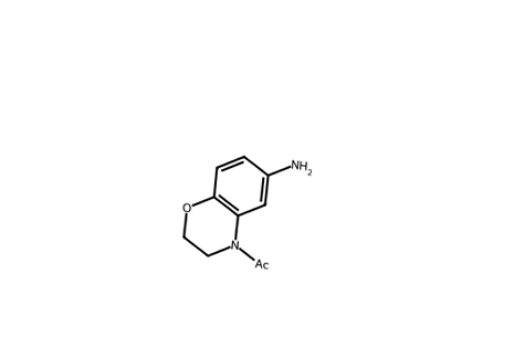 CC(=O)N1CCOc2ccc(N)cc21